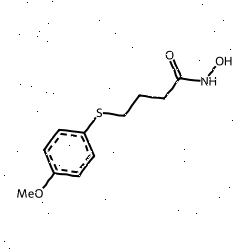 COc1ccc(SCCCC(=O)NO)cc1